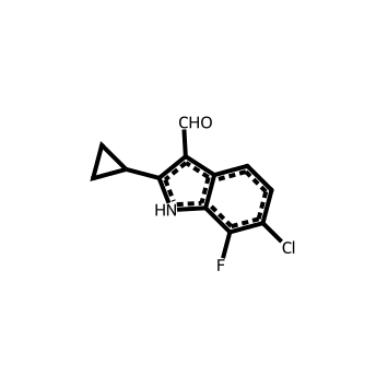 O=Cc1c(C2CC2)[nH]c2c(F)c(Cl)ccc12